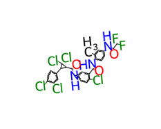 Cc1cc(NC(=O)C(F)F)ccc1NC(=O)c1cc(NC(=O)C2C(c3ccc(Cl)c(Cl)c3)C2(Cl)Cl)ccc1Cl